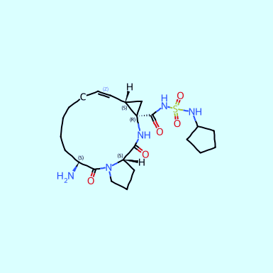 N[C@H]1CCCCC/C=C\[C@@H]2C[C@@]2(C(=O)NS(=O)(=O)NC2CCCC2)NC(=O)[C@@H]2CCCN2C1=O